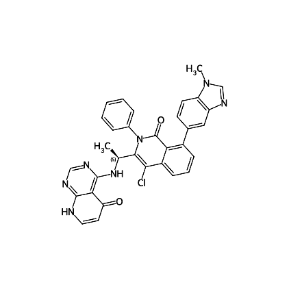 C[C@H](Nc1ncnc2[nH]ccc(=O)c12)c1c(Cl)c2cccc(-c3ccc4c(c3)ncn4C)c2c(=O)n1-c1ccccc1